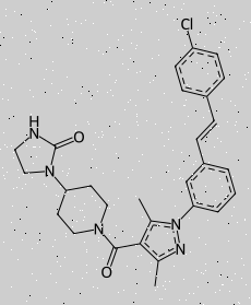 Cc1nn(-c2cccc(C=Cc3ccc(Cl)cc3)c2)c(C)c1C(=O)N1CCC(N2CCNC2=O)CC1